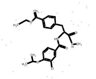 C=C(OCC)c1ccc(CC(NC(=O)c2ccc(OC(C)C)c(Cl)c2)C(=O)NC)cc1